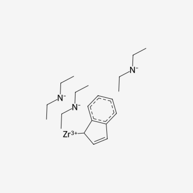 CC[N-]CC.CC[N-]CC.CC[N-]CC.[Zr+3][CH]1C=Cc2ccccc21